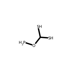 POC(S)S